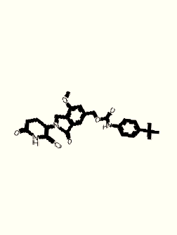 COc1cc(COC(=O)Nc2ccc(C(C)(C)C)cc2)cc2c1CN(C1CCC(=O)NC1=O)C2=O